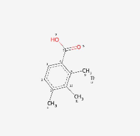 Cc1ccc(C(=O)O)c(C)c1C.[Tl]